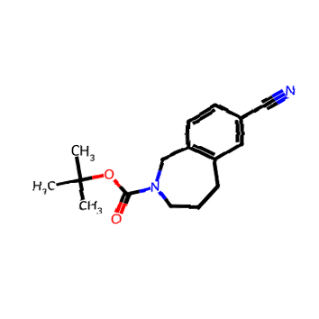 CC(C)(C)OC(=O)N1CCCc2cc(C#N)ccc2C1